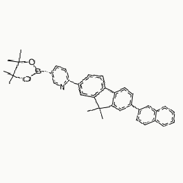 CC1(C)c2cc(-c3ccc4ccccc4c3)ccc2-c2ccc(-c3ccc(B4OC(C)(C)C(C)(C)O4)cn3)cc21